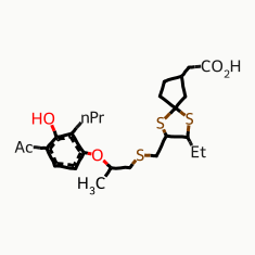 CCCc1c(OC(C)CSCC2SC3(CCC(CC(=O)O)C3)SC2CC)ccc(C(C)=O)c1O